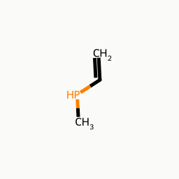 C=CPC